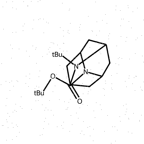 CC(C)(C)OC(=O)N1C2CC3CC1CC(C2)N3C(C)(C)C